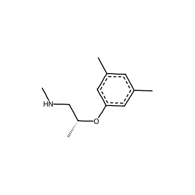 CNC[C@@H](C)Oc1cc(C)cc(C)c1